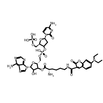 CCN(CC)c1ccc2cc(C(=O)NCCCC[C@H](N)C(=O)OC3C(O)[C@H](n4cnc5c(N)ncnc54)O[C@@H]3COP(=O)(O)OC3C[C@H](n4ccc(N)nc4=O)O[C@@H]3COP(=O)(O)O)c(=O)oc2c1